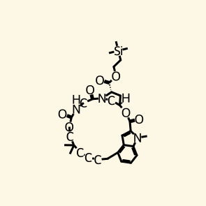 Cn1c2cc3c(cccc31)CCCCC(C)(C)COC(=O)NCC(=O)N1C[C@@H](C[C@H]1C(=O)OCC[Si](C)(C)C)OC2=O